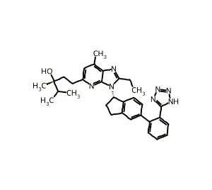 CCc1nc2c(C)cc(CC[C@@](C)(O)C(C)C)nc2n1[C@H]1CCc2cc(-c3ccccc3-c3nnn[nH]3)ccc21